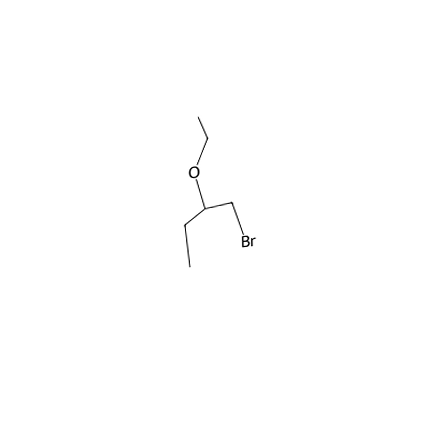 CCOC(CC)CBr